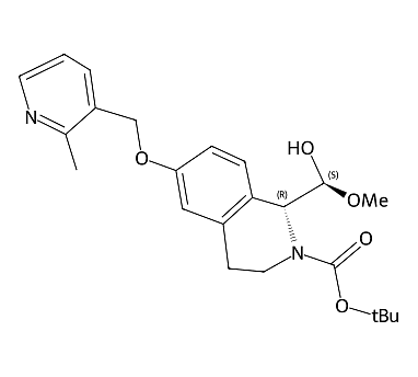 CO[C@H](O)[C@H]1c2ccc(OCc3cccnc3C)cc2CCN1C(=O)OC(C)(C)C